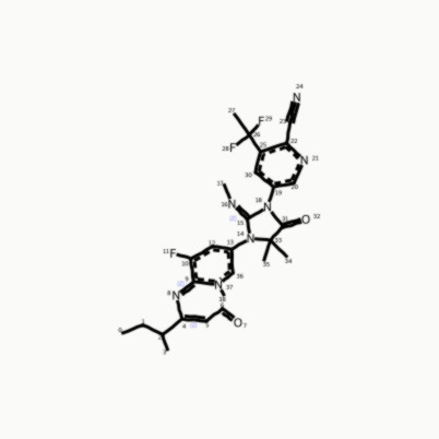 CCC(C)C(=C/C=O)/N=c1/c(F)cc(N2/C(=N/C)N(c3cnc(C#N)c(C(C)(F)F)c3)C(=O)C2(C)C)cn1C